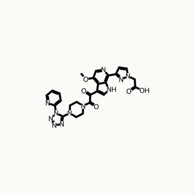 COc1cnc(-c2ccn(CC(=O)O)n2)c2[nH]cc(C(=O)C(=O)N3CCN(c4nnnn4-c4ccccn4)CC3)c12